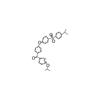 CC(C)Oc1ccc(C(=O)c2ccc(Oc3ccc(S(=O)(=O)c4ccc(C(C)C)cc4)cc3)cc2)cc1